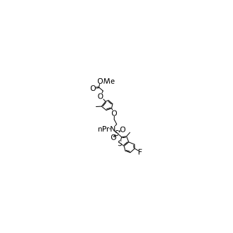 CCCN(CCOc1ccc(OCC(=O)OC)c(C)c1)S(=O)(=O)c1sc2ccc(F)cc2c1C